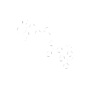 C=Cc1ccc(C2(C3=CCCCC3)c3ccccc3-c3ccc(-c4cccc(N(C5=CC6=C(CC5)C5C=CC(N(C7=CC(C8C=CC9=C(C8)C(C8=CCC(C=C)C=C8)(C8CC=CCC8)C8=C9CCC=C8)=CCC7)C7=CCC(F)CC7)CC5O6)c5ccc(F)cc5)c4)cc32)cc1